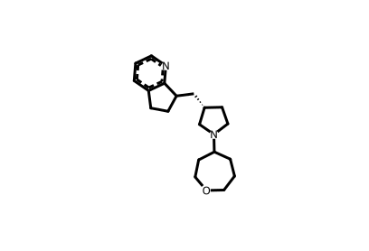 c1cnc2c(c1)CCC2C[C@@H]1CCN(C2CCCOCC2)C1